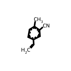 C=Cc1ccc(C)c(C#N)c1